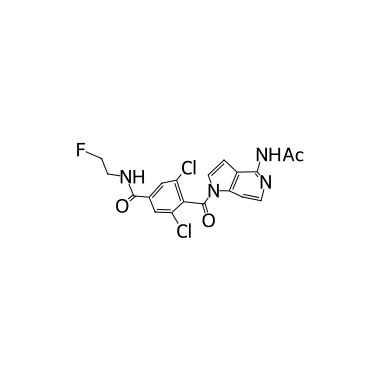 CC(=O)Nc1nccc2c1ccn2C(=O)c1c(Cl)cc(C(=O)NCCF)cc1Cl